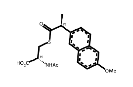 COc1ccc2cc([C@H](C)C(=O)SC[C@H](NC(C)=O)C(=O)O)ccc2c1